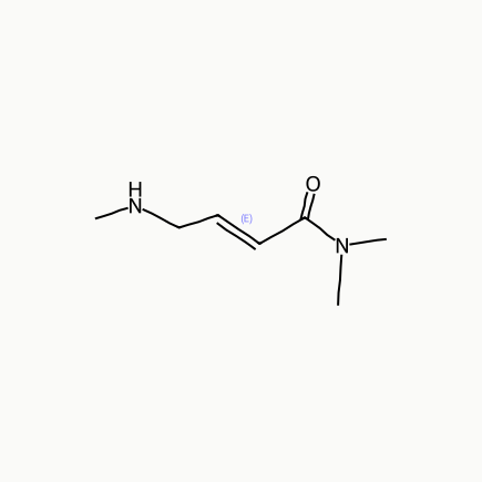 CNC/C=C/C(=O)N(C)C